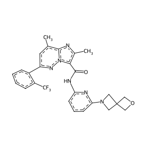 Cc1nc2c(C)cc(-c3ccccc3C(F)(F)F)nn2c1C(=O)Nc1cccc(N2CC3(COC3)C2)n1